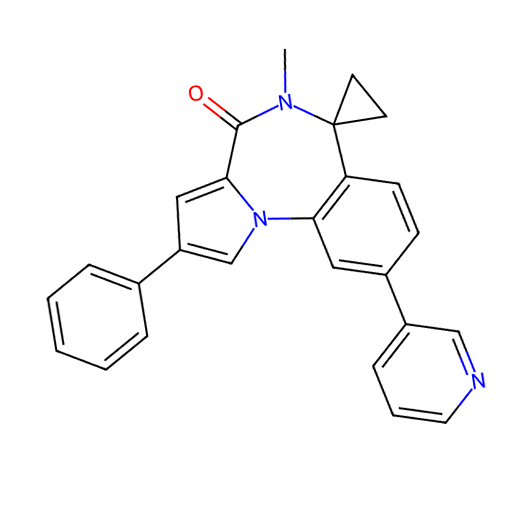 CN1C(=O)c2cc(-c3ccccc3)cn2-c2cc(-c3cccnc3)ccc2C12CC2